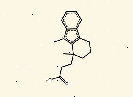 Cn1c2c(c3ccccc31)CCCC2(C)CCC(=O)O